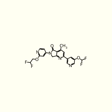 Cc1cc(-c2cncc(OC(F)F)c2)nc2c1C(=O)N(c1ccnc(OCC(F)F)c1)C2